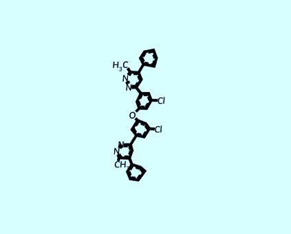 Cc1nnc(-c2cc(Cl)cc(Oc3cc(Cl)cc(-c4cc(-c5ccccc5)c(C)nn4)c3)c2)cc1-c1ccccc1